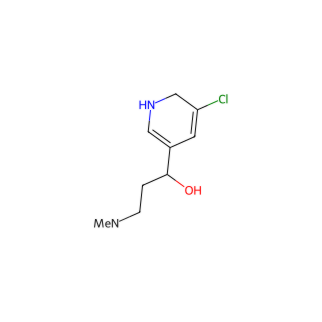 CNCCC(O)C1=CNCC(Cl)=C1